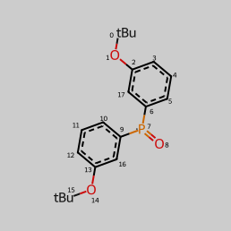 CC(C)(C)Oc1cccc([P](=O)c2cccc(OC(C)(C)C)c2)c1